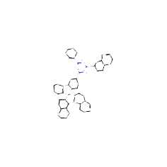 c1ccc(-c2nc(-c3ccc4c(c3)-c3ccccc3C43c4ccc5ccccc5c4-c4c3ccc3ccccc43)nc(-c3ccc4ccccc4c3)n2)cc1